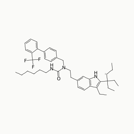 CC[C]C(CC)(CC)c1[nH]c2cc(CCN(Cc3ccc(-c4ccccc4C(F)(F)F)cc3)C(=O)NCCCCCC)ccc2c1CC